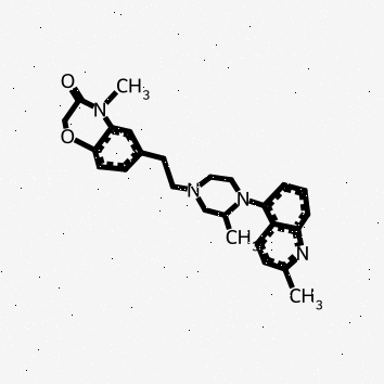 Cc1ccc2c(N3CCN(CCc4ccc5c(c4)N(C)C(=O)CO5)CC3C)cccc2n1